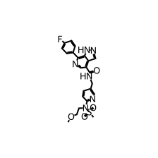 COCCN(c1ccc(CNC(=O)c2cnc(-c3ccc(F)cc3)c3[nH]ncc23)cn1)S(C)(=O)=O